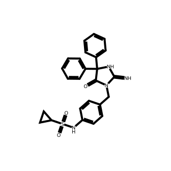 N=C1NC(c2ccccc2)(c2ccccc2)C(=O)N1Cc1ccc(NS(=O)(=O)C2CC2)cc1